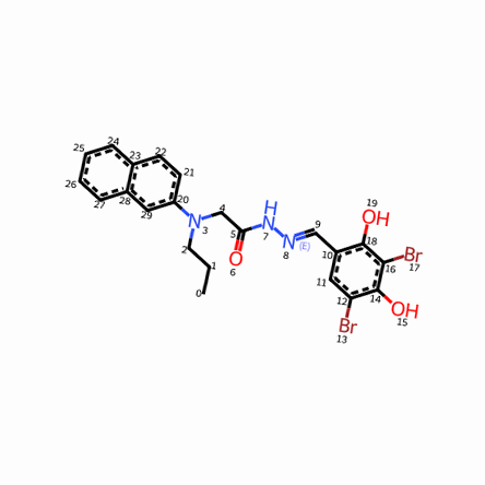 CCCN(CC(=O)N/N=C/c1cc(Br)c(O)c(Br)c1O)c1ccc2ccccc2c1